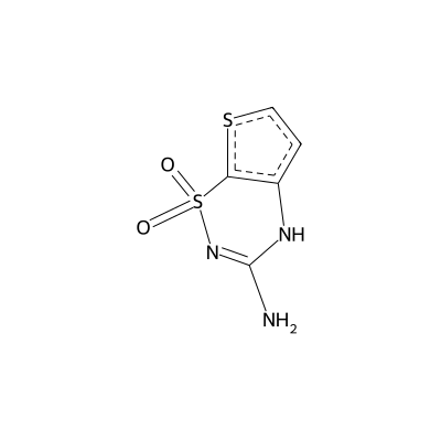 NC1=NS(=O)(=O)c2sccc2N1